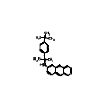 CC(C)(C)c1ccc(C(C)(C)Nc2ccc3cc4ccccc4cc3c2)cc1